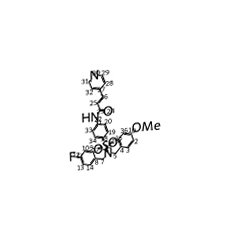 COc1ccc(CN(Cc2ccc(F)cc2)S(=O)(=O)c2ccc(NC(=O)/C=C/c3ccncc3)cc2)cc1